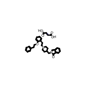 O=C(O)/C=C/C(=O)O.O=C1c2ccccc2CN1CC1CCN(CCc2ccccc2OCCc2ccccc2)CC1